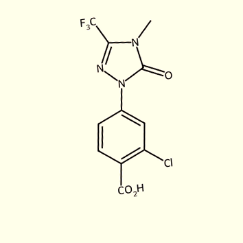 Cn1c(C(F)(F)F)nn(-c2ccc(C(=O)O)c(Cl)c2)c1=O